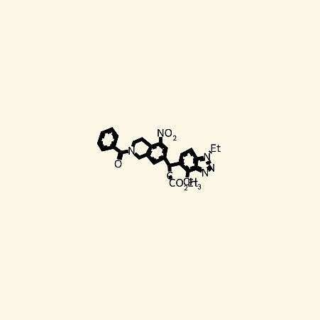 CCOC(=O)CC(c1cc2c(c([N+](=O)[O-])c1)CCN(C(=O)c1ccccc1)C2)c1ccc2c(nnn2CC)c1C